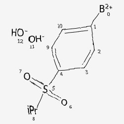 [B+2]c1ccc(S(=O)(=O)C(C)C)cc1.[OH-].[OH-]